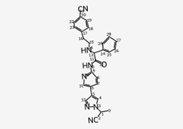 CC(C#N)n1cc(-c2ccc(NC(=O)C(NCCc3ccc(C#N)cc3)c3ccccc3)nc2)cn1